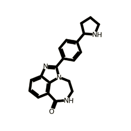 O=C1NCCn2c(-c3ccc(C4CCCN4)cc3)nc3cccc1c32